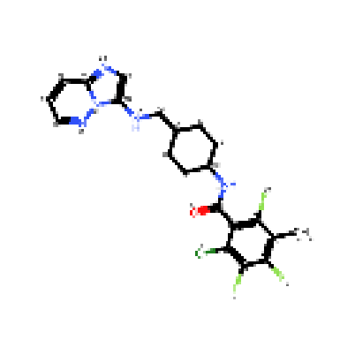 Cc1c(F)c(F)c(Cl)c(C(=O)NC2CCC(CNc3cnc4cccnn34)CC2)c1F